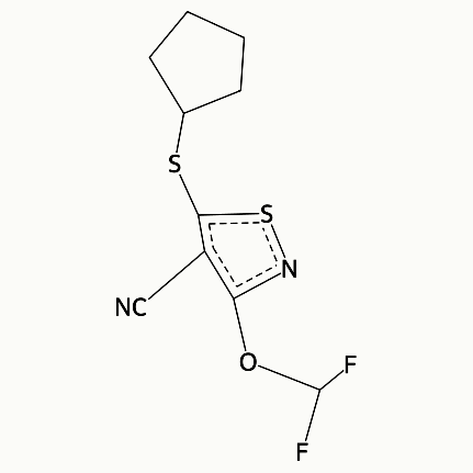 N#Cc1c(OC(F)F)nsc1SC1CCCC1